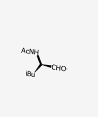 CC[C@H](C)[C@H]([C]=O)NC(C)=O